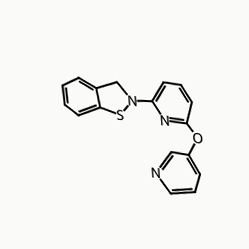 c1cncc(Oc2cccc(N3Cc4ccccc4S3)n2)c1